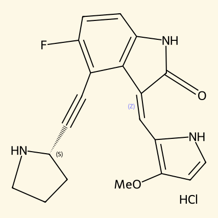 COc1cc[nH]c1/C=C1\C(=O)Nc2ccc(F)c(C#C[C@@H]3CCCN3)c21.Cl